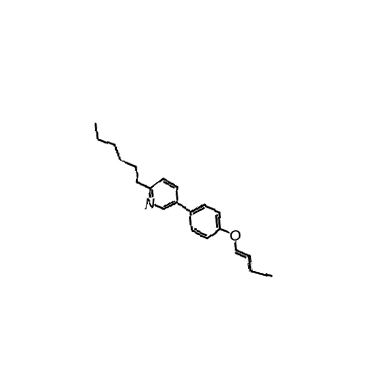 CCC=COc1ccc(-c2ccc(CCCCCC)nc2)cc1